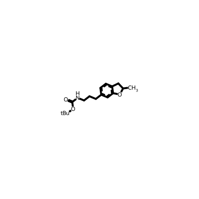 CC1Cc2ccc(CCCNC(=O)OC(C)(C)C)cc2O1